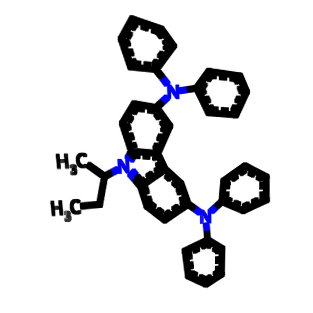 CCC(C)n1c2ccc(N(c3ccccc3)c3ccccc3)cc2c2cc(N(c3ccccc3)c3ccccc3)ccc21